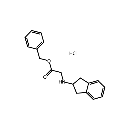 Cl.O=C(CNC1Cc2ccccc2C1)OCc1ccccc1